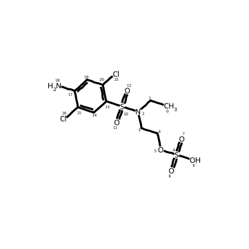 CCN(CCOS(=O)(=O)O)S(=O)(=O)c1cc(Cl)c(N)cc1Cl